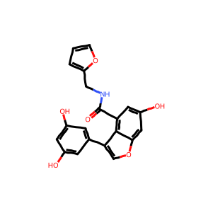 O=C(NCc1ccco1)c1cc(O)cc2occ(-c3cc(O)cc(O)c3)c12